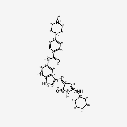 CN1CCN(c2ccc(C(=O)Nc3cnc4[nH]cc(C=C5N=C(NC6CCCCC6)NC5=O)c4c3)cc2)CC1